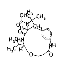 CC(C)[C@H]1COCCC(=O)Nc2ccc(cc2)C[C@@H](N(C(=O)O)C(C)(C)C)C(=O)N1